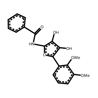 COc1cccc(-c2oc(NC(=O)c3ccccc3)c(O)c2O)c1OC